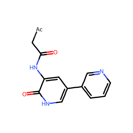 CC(=O)CC(=O)Nc1cc(-c2cccnc2)c[nH]c1=O